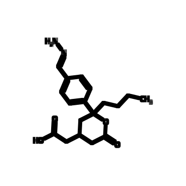 CCCCC1(c2ccc(C=NN)cc2)CC(CC(=O)O)CC(=O)O1